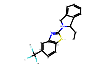 CCC1c2ccccc2CN1c1nc2cc(C(F)(F)F)ccc2s1